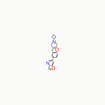 c1cc2ncc(-c3ccc4c(c3)CC3(CCN(C5CCC5)CC3)O4)cc2o1